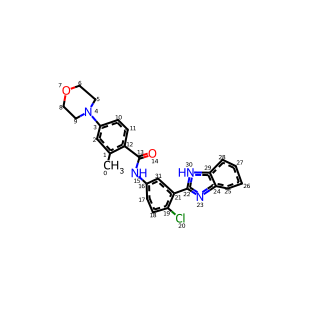 Cc1cc(N2CCOCC2)ccc1C(=O)Nc1ccc(Cl)c(-c2nc3ccccc3[nH]2)c1